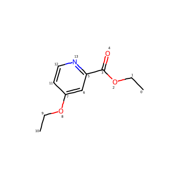 CCOC(=O)c1cc(OCC)ccn1